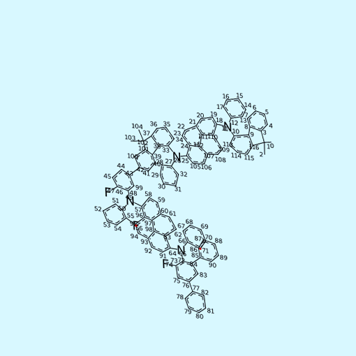 CC1(C)c2ccccc2-c2c(N(c3ccccc3)c3ccc4ccc5c(N(c6ccccc6)c6cccc7c6-c6ccc(-c8ccc(F)c(N(c9ccccc9F)c9ccc%10ccc%11c(N(c%12ccccc%12)c%12c(F)cc(-c%13ccccc%13)cc%12-c%12ccccc%12)ccc%12ccc9c%10c%12%11)c8)cc6C7(C)C)ccc6ccc3c4c65)cccc21